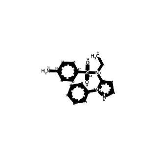 CCN(c1ccnn1-c1ccccc1)S(=O)(=O)c1ccc(N)cc1